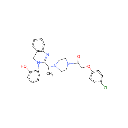 CC(C1=Nc2ccccc2CN1c1ccccc1O)N1CCN(C(=O)COc2ccc(Cl)cc2)CC1